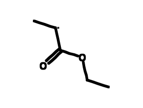 C[CH]C(=O)OCC